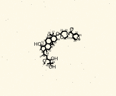 COC(C[C@@H](C)[C@H]1C[C@H](O)[C@@]2(C)C3CC[C@H]4C(C)(C)C(OC5CCN(C(=O)c6ccncc6)CCO5)CCC45CC35CCC12C)C(O)C(C)(C)O